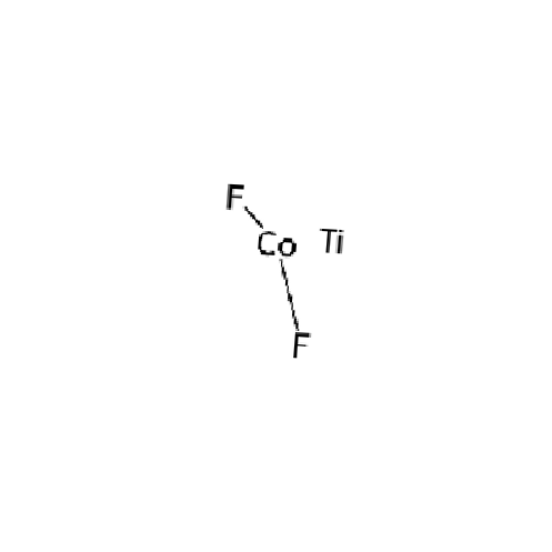 [F][Co][F].[Ti]